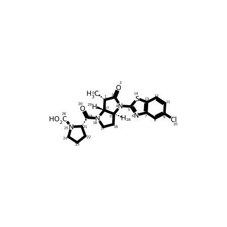 C[C@@H]1C(=O)N(c2nc3cc(Cl)ccc3s2)[C@H]2CCN(C(=O)[C@@H]3CCCN3C(=O)O)[C@H]12